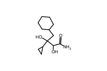 NC(=O)C(O)C(O)(CC1CCCCC1)C1CC1